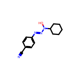 N#Cc1ccc(N=NN(O)C2CCCCC2)cc1